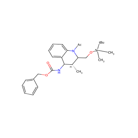 CC(=O)N1c2ccccc2C(NC(=O)OCc2ccccc2)[C@@H](C)C1CO[Si](C)(C)C(C)(C)C